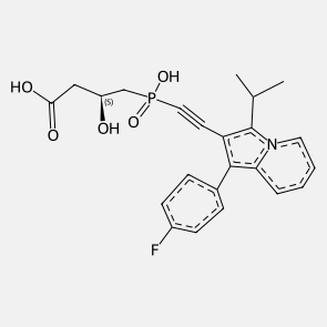 CC(C)c1c(C#CP(=O)(O)C[C@@H](O)CC(=O)O)c(-c2ccc(F)cc2)c2ccccn12